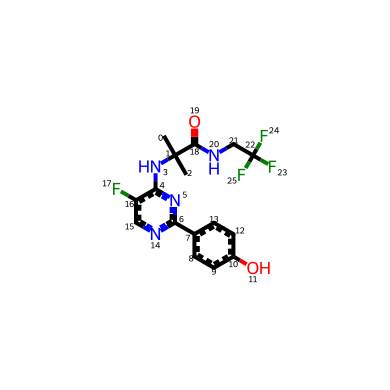 CC(C)(Nc1nc(-c2ccc(O)cc2)ncc1F)C(=O)NCC(F)(F)F